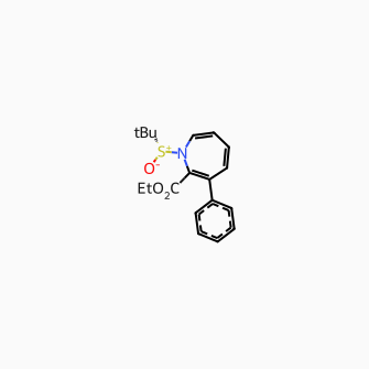 CCOC(=O)C1=C(c2ccccc2)C=CC=CN1[S@+]([O-])C(C)(C)C